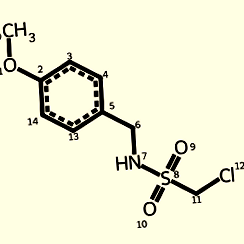 COc1ccc(CNS(=O)(=O)CCl)cc1